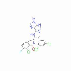 CC[C@@H](Nc1ncnc2[nH]cnc12)c1cc2ccc(F)c(Cl)c2c(=O)n1-c1ccc(Cl)cc1Cl